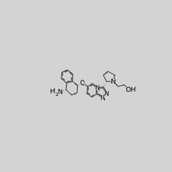 N[C@H]1CC[C@@H](Oc2ccc3nnc([C@@H]4CCCN4CCO)n3c2)c2ccccc21